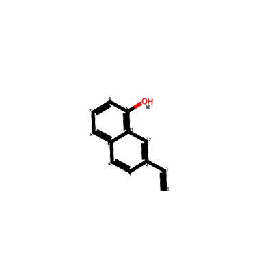 C=Cc1ccc2cccc(O)c2c1